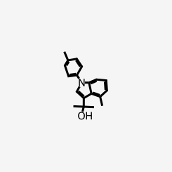 Cc1ccc(-n2cc(C(C)(C)O)c3c(C)cccc32)cc1